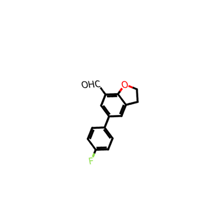 O=Cc1cc(-c2ccc(F)cc2)cc2c1OCC2